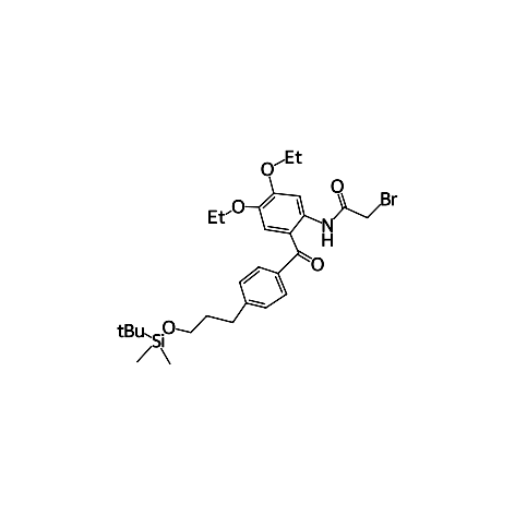 CCOc1cc(NC(=O)CBr)c(C(=O)c2ccc(CCCO[Si](C)(C)C(C)(C)C)cc2)cc1OCC